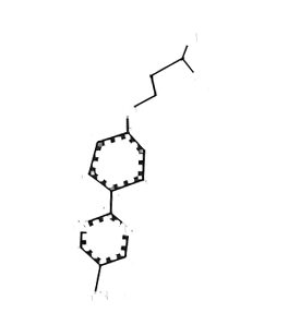 CCCCCCCCCc1cnc(-c2ccc(OCCC(C)Cl)cc2)nc1